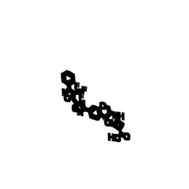 O=C(O)[C@H]1C[C@H](N[C@H]2COc3cc(-c4noc(-c5onc(-c6ccccc6)c5C(F)(F)F)n4)ccc3[C@H]2O)C1